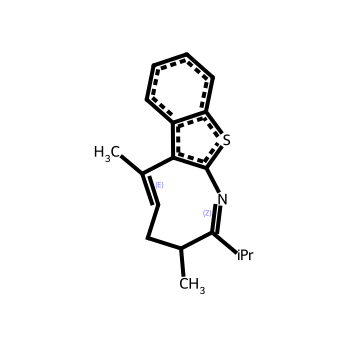 C/C1=C\CC(C)/C(C(C)C)=N\c2sc3ccccc3c21